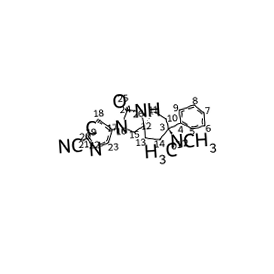 CN(C)[C@]1(c2ccccc2)CC[C@]2(CC1)CN(c1ccc(C#N)nc1)C(=O)N2